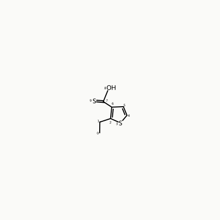 CCc1sccc1C(O)=S